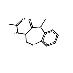 CC(=O)NC1COc2cccnc2N(C)C1=O